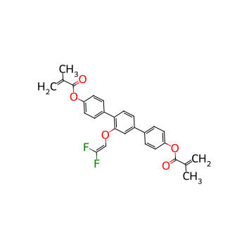 C=C(C)C(=O)Oc1ccc(-c2ccc(-c3ccc(OC(=O)C(=C)C)cc3)c(OC=C(F)F)c2)cc1